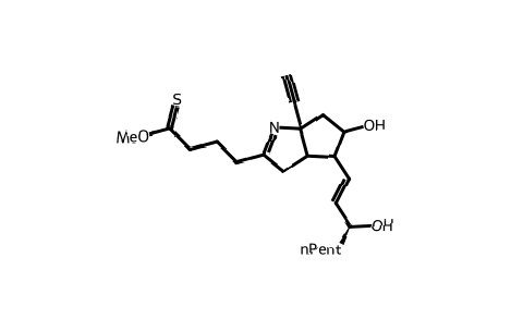 C#CC12CC(O)C(C=C[C@@H](O)CCCCC)C1CC(CCCC(=S)OC)=N2